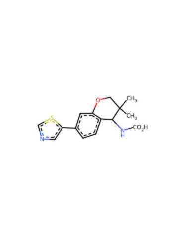 CC1(C)COc2cc(-c3cncs3)ccc2C1NC(=O)O